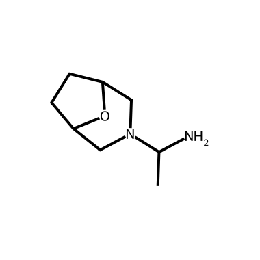 CC(N)N1CC2CCC(C1)O2